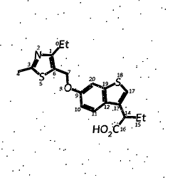 CCc1nc(C)sc1COc1ccc2c(C(CC)C(=O)O)csc2c1